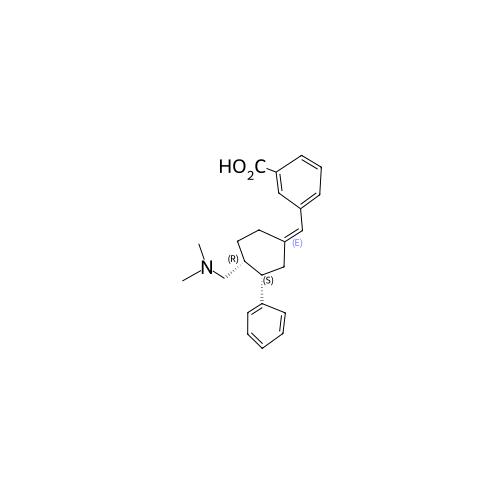 CN(C)C[C@@H]1CC/C(=C\c2cccc(C(=O)O)c2)C[C@@H]1c1ccccc1